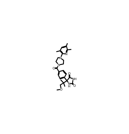 COCC(C)(C)C1(c2ccc(C(=O)N3CCN(c4nc(C)c(C)cc4C)CC3)cc2)NC(=O)NC1=O